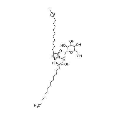 CCCCCCCCCCCCCC[C@@H](O)[C@@H](O)[C@H](COC1OC(CO)C(O)C(O)C1O)n1nnn(CCCCCCCCCCC23CC(F)(C2)C3)c1=O